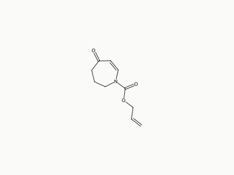 C=CCOC(=O)N1C=CC(=O)CCC1